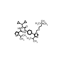 CC(C)c1ncn(COCC[Si](C)(C)C)c1-c1ccc(NC(=O)[C@@H](NC(=O)c2ccnn2C(C)C)C(C2CC2)C2CC2)cc1